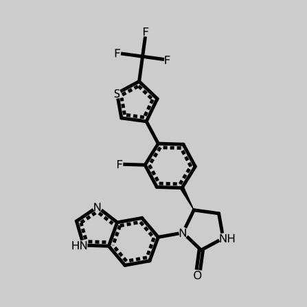 O=C1NC[C@H](c2ccc(-c3csc(C(F)(F)F)c3)c(F)c2)N1c1ccc2[nH]cnc2c1